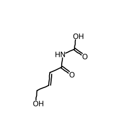 O=C(O)NC(=O)C=CCO